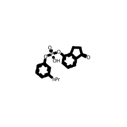 CCCc1cccc(OP(=O)(O)Oc2cccc3c2CCC3=O)c1